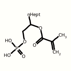 C=C(C)C(=O)OC(CCCCCCC)COP(=O)(O)O